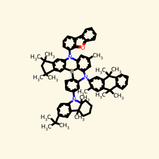 Cc1cc2c3c(c1)N(c1cccc4c1oc1ccccc14)c1cc4c(cc1B3c1ccc(N3c5ccc(C(C)(C)C)cc5C5(C)CCCCC35C)cc1N2c1cc2c(cc1C)C(C)(C)c1ccccc1C2(C)C)C(C)(C)CC4(C)C